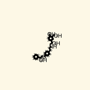 OCc1cc([C@@H](O)CNCCc2ccc(OC[C@H](O)c3ccccc3)cc2)ccc1O